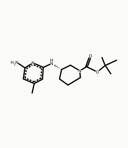 Cc1cc(N)nc(N[C@H]2CCCN(C(=O)OC(C)(C)C)C2)c1